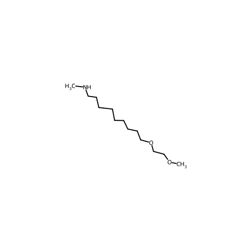 CNCCCCCCCCCOCCOC